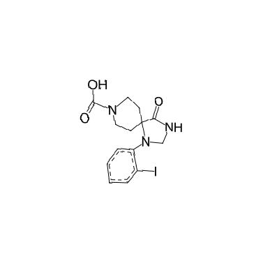 O=C(O)N1CCC2(CC1)C(=O)NCN2c1ccccc1I